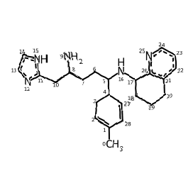 CC1=CCC(C(CCC(N)Cc2ncc[nH]2)NC2CCCc3cccnc32)C=C1